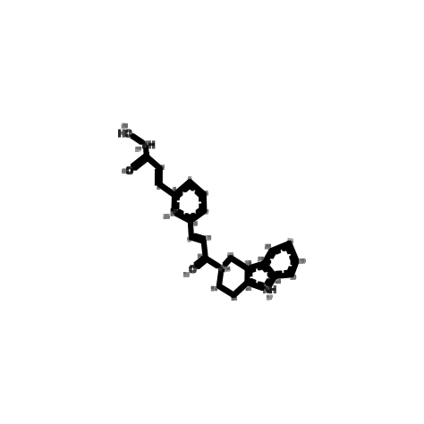 O=C(C=Cc1cccc(C=CC(=O)N2CCc3[nH]c4ccccc4c3C2)n1)NO